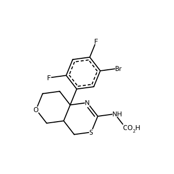 O=C(O)NC1=NC2(c3cc(Br)c(F)cc3F)CCOCC2CS1